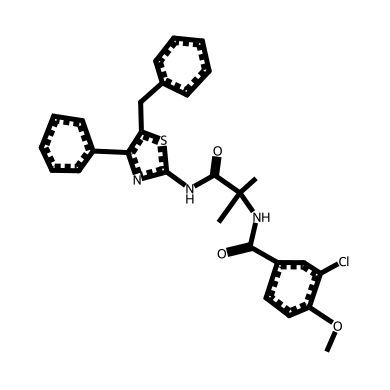 COc1ccc(C(=O)NC(C)(C)C(=O)Nc2nc(-c3ccccc3)c(Cc3ccccc3)s2)cc1Cl